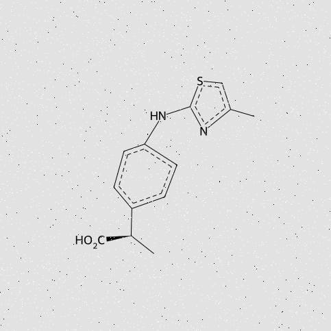 Cc1csc(Nc2ccc([C@@H](C)C(=O)O)cc2)n1